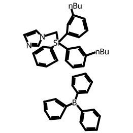 CCCCc1cccc([Si](Cn2ccnc2)(c2ccccc2)c2cccc(CCCC)c2)c1.c1ccc(B(c2ccccc2)c2ccccc2)cc1